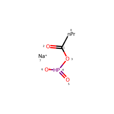 CCCC(=O)O[PH](=O)[O-].[Na+]